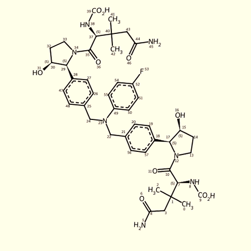 CC(C)(CC(N)=O)[C@H](NC(=O)O)C(=O)N1CC[C@H](O)[C@@H]1c1ccc(CN(Cc2ccc([C@H]3[C@@H](O)CCN3C(=O)[C@@H](NC(=O)O)C(C)(C)CC(N)=O)cc2)c2ccc(F)cc2)cc1